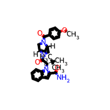 COc1ccc(C(=O)N2C[C@@H]3C[C@H]2CN3C(=O)[C@@H](n2c(C(N)=O)cc3ccccc32)C(C)(C)C)cc1